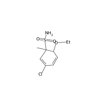 CCOC1C=CC(Cl)=CC1(C)S(N)(=O)=O